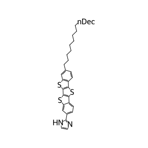 CCCCCCCCCCCCCCCCCCCc1ccc2c(c1)sc1c2sc2c3ccc(-c4ncc[nH]4)cc3sc21